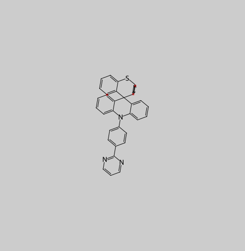 c1cnc(-c2ccc(N3c4ccccc4C4(c5ccccc5Sc5ccccc54)c4ccccc43)cc2)nc1